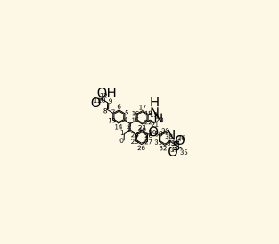 CCC(=C(c1ccc(C=CC(=O)O)cc1)c1ccc2[nH]ncc2c1)c1cccc(Oc2ccc(S(C)(=O)=O)nc2)c1